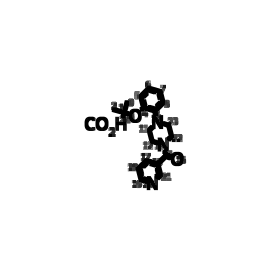 CC(C)(Oc1ccccc1N1CCN(C(=O)c2cccnc2)CC1)C(=O)O